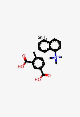 C[N+](C)(C)c1cccc2ccccc12.Cc1ccc(C(=O)O)cc1C(=O)O.[SnH4]